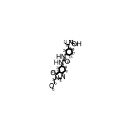 COCCn1cnc2ccc(NC(=O)Nc3cccc(/C(C)=N\O)c3)cc2c1=O